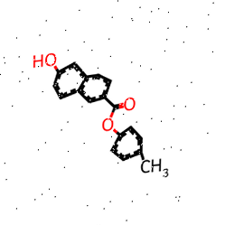 Cc1ccc(OC(=O)c2ccc3cc(O)ccc3c2)cc1